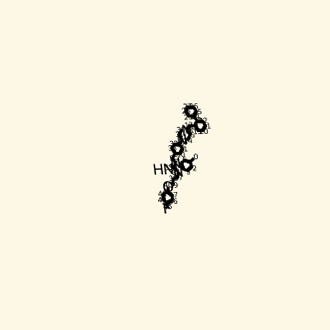 Cc1ccc2c(c1)n(Cc1ccc(N3CCN(Cc4ccccc4-c4ccccc4)CC3)cc1)c(=N)n2CCCOc1ccc(F)cc1